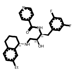 CCc1ccc2c(c1)[C@@H](NC[C@H](O)[C@H](Cc1cc(F)cc(F)c1)NC(=O)c1ccncc1)CCC2